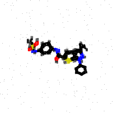 Cc1nn(C2CCCCC2)c2sc(C(=O)Nc3ccc(NS(C)(=O)=O)cc3)cc12